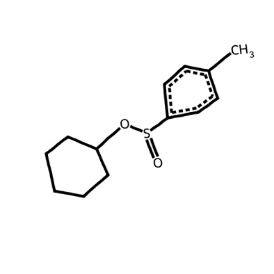 Cc1ccc(S(=O)OC2CCCCC2)cc1